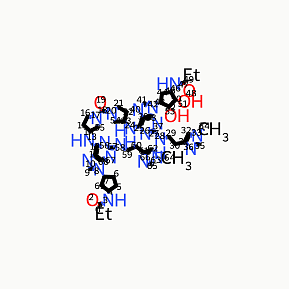 CCC(=O)N[C@@H]1CC[C@H](n2cnc3c(N[C@@H]4CCN(C(=O)N5CC[C@@H](Nc6nc(NCCc7cn(C)cn7)nc7c6ncn7[C@@H]6C[C@H](NC(=O)CC)[C@@H](O)[C@H]6O)C5)C4)nc(NCCc4cn(C)cn4)nc32)C1